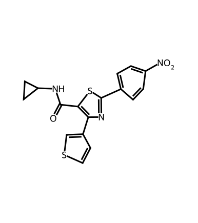 O=C(NC1CC1)c1sc(-c2ccc([N+](=O)[O-])cc2)nc1-c1ccsc1